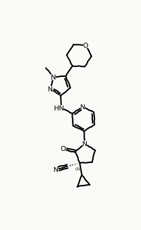 Cn1nc(Nc2cc(N3CC[C@@](C#N)(C4CC4)C3=O)ccn2)cc1C1CCOCC1